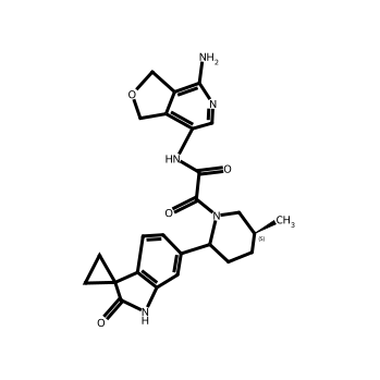 C[C@H]1CCC(c2ccc3c(c2)NC(=O)C32CC2)N(C(=O)C(=O)Nc2cnc(N)c3c2COC3)C1